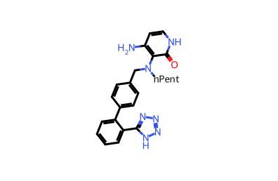 CCCCCN(Cc1ccc(-c2ccccc2-c2nnn[nH]2)cc1)c1c(N)cc[nH]c1=O